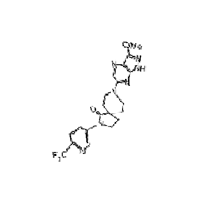 COc1n[nH]c2nc(N3CCC4(CC3)CCN(c3ccc(C(F)(F)F)nc3)C4=O)cnc12